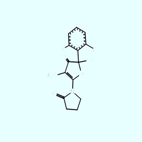 CC(=O)OC1=C(N2CCCC2=O)OC(C)(c2c(F)cccc2F)C1=O